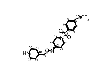 O=S(=O)(c1ccc(OC(F)(F)F)cc1)N1CCC(=NOCC2CCNCC2)CC1